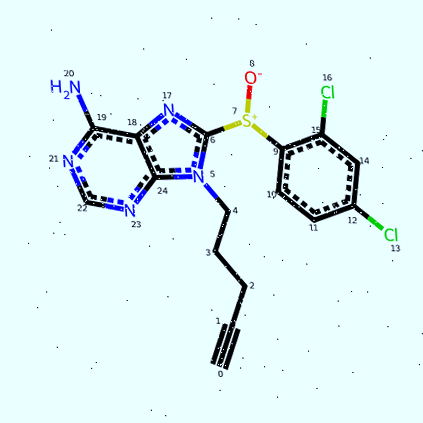 C#CCCCn1c([S+]([O-])c2ccc(Cl)cc2Cl)nc2c(N)ncnc21